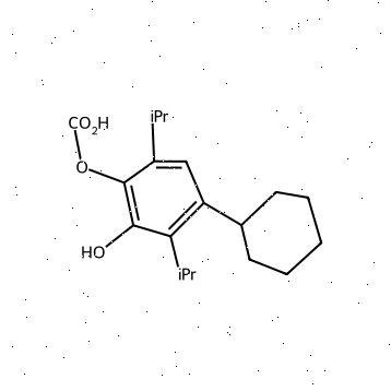 CC(C)c1cc(C2CCCCC2)c(C(C)C)c(O)c1OC(=O)O